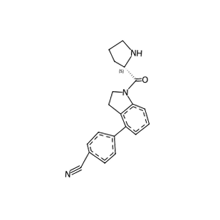 N#Cc1ccc(-c2cccc3c2CCN3C(=O)[C@@H]2CCCN2)cc1